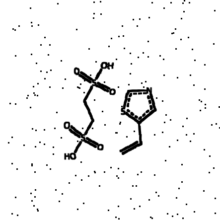 C=Cc1cncs1.O=S(=O)(O)CCS(=O)(=O)O